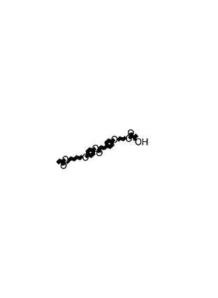 C=CC(=O)OCCCCCCOc1ccc(OC(=O)/C=C/c2ccc(OCCCCOC(=O)C(=C)CO)cc2)cc1